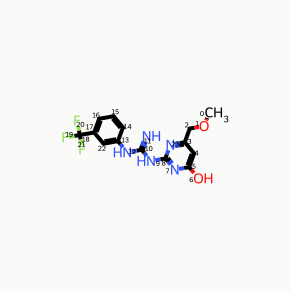 COCc1cc(O)nc(NC(=N)Nc2cccc(C(F)(F)F)c2)n1